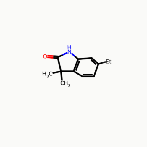 CCc1ccc2c(c1)NC(=O)C2(C)C